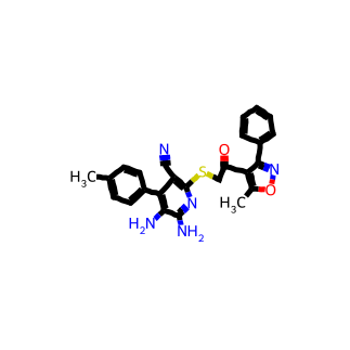 Cc1ccc(-c2c(N)c(N)nc(SCC(=O)c3c(-c4ccccc4)noc3C)c2C#N)cc1